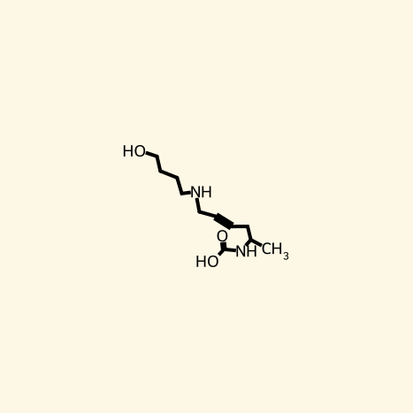 CC(CC#CCNCCCCO)NC(=O)O